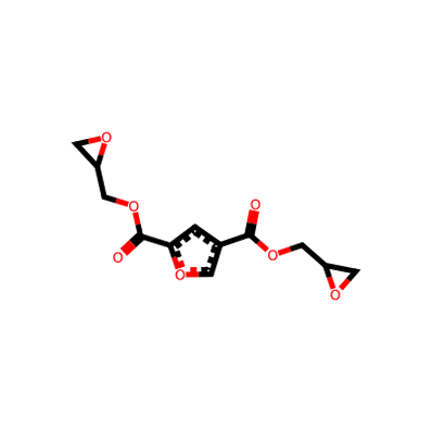 O=C(OCC1CO1)c1coc(C(=O)OCC2CO2)c1